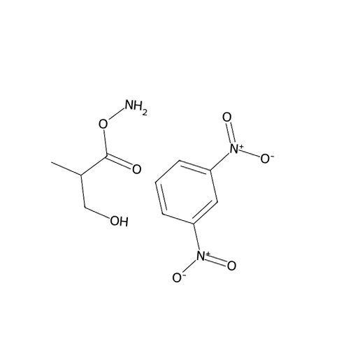 CC(CO)C(=O)ON.O=[N+]([O-])c1cccc([N+](=O)[O-])c1